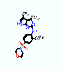 CNc1nc(Nc2ccc(S(=O)(=O)N3CCOCC3)cc2OC)nc2[nH]cc(C(F)(F)F)c12